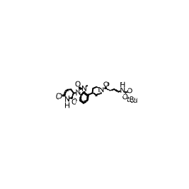 Cn1c(=O)n(C2CCC(=O)NC2=O)c2cccc(C3CCN(C(=O)CCCNC(=O)OC(C)(C)C)CC3)c21